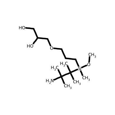 CO[Si](C)(CCCOCC(O)CO)C(C)(C)C(C)(C)N